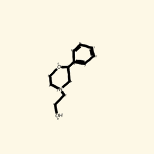 OCCN1CCOC(c2ccccc2)C1